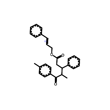 Cc1ccc(C(=O)C(C)C(CC(=O)OC/C=C/c2ccccc2)c2ccccc2)cc1